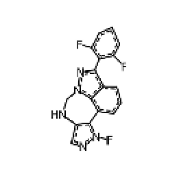 Fc1cccc(F)c1-c1nn2c3c(cccc13)-c1c(cnn1F)NC2